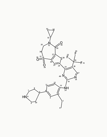 CCc1cc(C2CCNCC2)ccc1Nc1ncc(C(F)(F)F)c(-c2cc3c(s2)C(=O)N(C2CC2)CCS3(=O)=O)n1